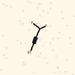 CCC#CC(F)F